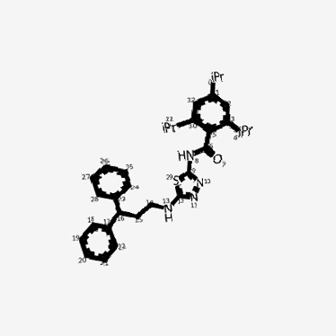 CC(C)c1cc(C(C)C)c(C(=O)Nc2nnc(NCCC(c3ccccc3)c3ccccc3)s2)c(C(C)C)c1